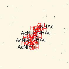 CC(=O)N[C@H]1[C@H](O[C@H]2[C@H](O)[C@@H](NC(C)=O)[C@H](O[C@H]3[C@H](O)[C@@H](NC(C)=O)C(O)O[C@@H]3CO)O[C@@H]2CO)O[C@H](CO)[C@@H](O[C@@H]2O[C@H](CO)[C@@H](O[C@@H]3O[C@H](CO)[C@@H](O[C@@H]4O[C@H](CO)[C@@H](O)[C@H](O)[C@H]4NC(C)=O)[C@H](O)[C@H]3NC(C)=O)[C@H](O)[C@H]2NC(C)=O)[C@@H]1O